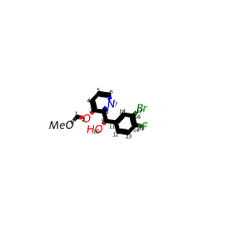 COCOc1cccnc1C(O)c1ccc(F)c(Br)c1